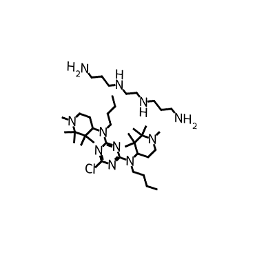 CCCCN(c1nc(Cl)nc(N(CCCC)C2CCN(C)C(C)(C)C2(C)C)n1)C1CCN(C)C(C)(C)C1(C)C.NCCCNCCNCCCN